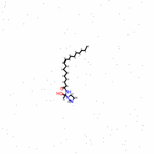 CCCCCCCC/C=C\CCCCCCCC(=O)NC(C)(O)N1C=NCC1